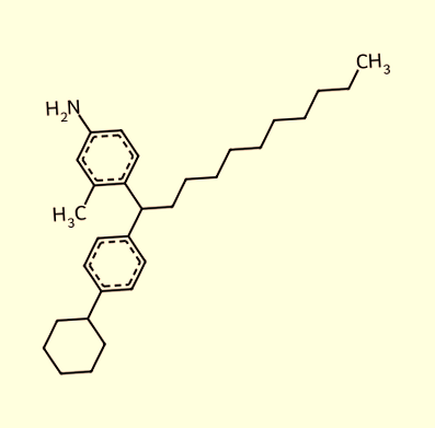 CCCCCCCCCCC(c1ccc(C2CCCCC2)cc1)c1ccc(N)cc1C